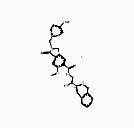 CCOc1cc2c(cc1C(=O)NCC(O)[C@@H]1Cc3ccccc3CN1)CN(Cc1ccc(OC)cc1)C2=O.Cl